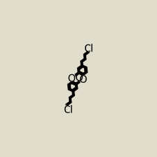 ClCCCCc1ccc2c(c1)C1Oc3ccc(CCCCCl)cc3C(O2)O1